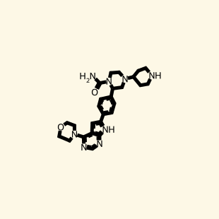 NC(=O)N1CCN(C2CCNCC2)CC1c1ccc(-c2cc3c(N4CCOCC4)ncnc3[nH]2)cc1